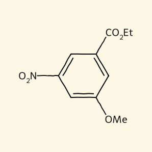 CCOC(=O)c1cc(OC)cc([N+](=O)[O-])c1